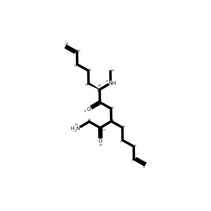 C=CCCCC(CC(=O)[C@@H](CCCC=C)NC)C(=O)CN